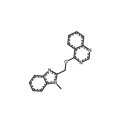 Cn1c(COc2ncnc3ccccc23)nc2ccccc21